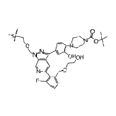 CC(C)(C)OC(=O)N1CCN(c2ccc(-c3nn(COCC[Si](C)(C)C)c4cnc(-c5c(F)cccc5COCCO)cc34)cc2O)CC1